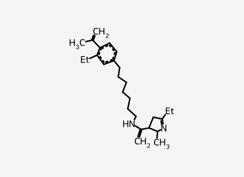 C=C(C)c1ccc(CCCCCCCNC(=C)C2CC(CC)=NC2C)cc1CC